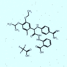 CCOc1cc(C(Nc2ccc(C(=N)N)cc2)C(=O)NNc2ccccc2C(=O)O)c(F)cc1OC(C)C.O=C(O)C(F)(F)F